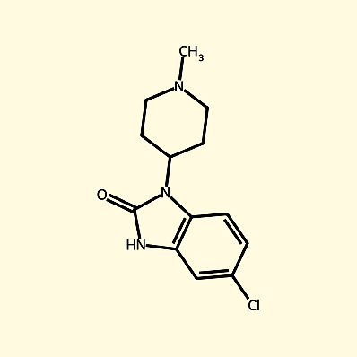 CN1CCC(n2c(=O)[nH]c3cc(Cl)ccc32)CC1